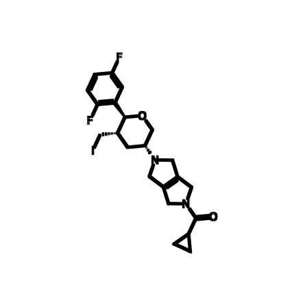 O=C(C1CC1)N1CC2=C(C1)CN([C@H]1CO[C@H](c3cc(F)ccc3F)[C@@H](CI)C1)C2